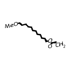 C=CC(=O)OCCCCCCCCCCCCOC